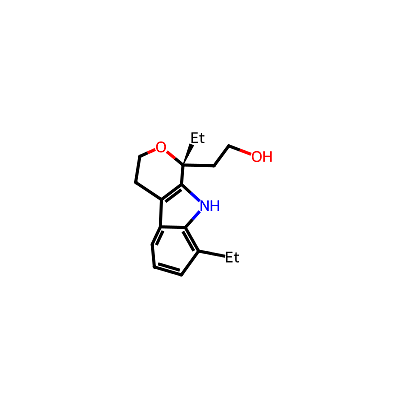 CCc1cccc2c3c([nH]c12)[C@@](CC)(CCO)OCC3